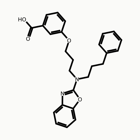 O=C(O)c1cccc(OCCCN(CCCc2ccccc2)c2nc3ccccc3o2)c1